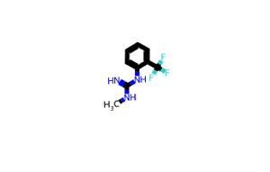 CNC(=N)Nc1ccccc1C(F)(F)F